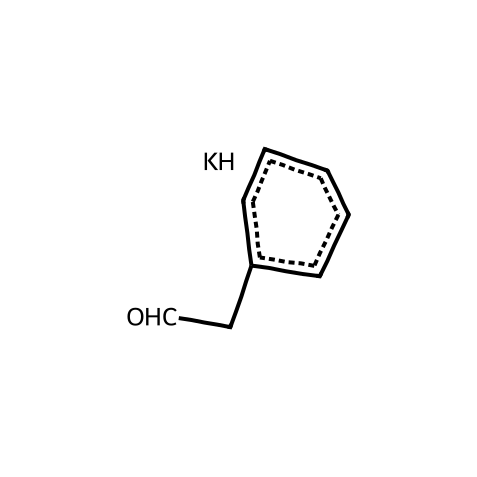 O=CCc1ccccc1.[KH]